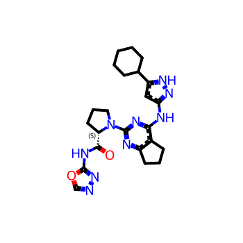 O=C(Nc1nnco1)[C@@H]1CCCN1c1nc2c(c(Nc3cc(C4CCCCC4)[nH]n3)n1)CCC2